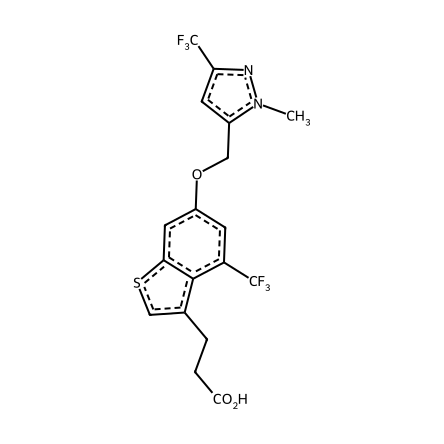 Cn1nc(C(F)(F)F)cc1COc1cc(C(F)(F)F)c2c(CCC(=O)O)csc2c1